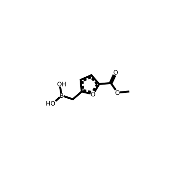 COC(=O)c1ccc(CB(O)O)o1